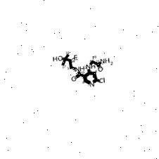 C[C@@H](Nc1cc(Cl)ncc1C(=O)NC[C@@H](F)C(C)(C)O)C(N)=O